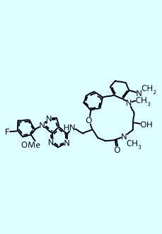 C=NC1=C2C(=CCC1)c1cccc(c1)OC(CNc1ncnc3c1cnn3-c1ccc(F)cc1OC)CCC(=O)N(C)CC(O)CN2C